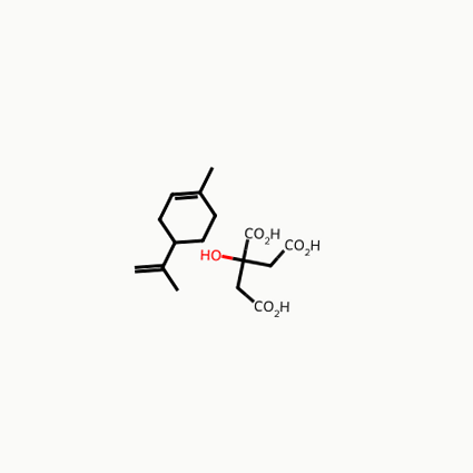 C=C(C)C1CC=C(C)CC1.O=C(O)CC(O)(CC(=O)O)C(=O)O